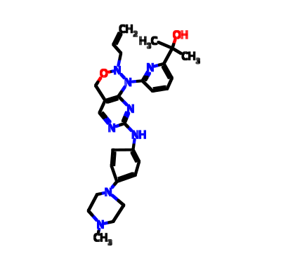 C=CCN1OCc2cnc(Nc3ccc(N4CCN(C)CC4)cc3)nc2N1c1cccc(C(C)(C)O)n1